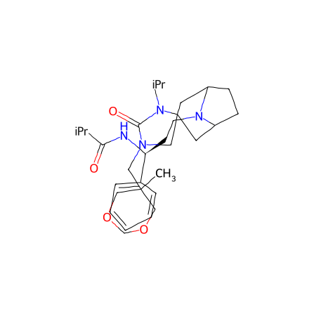 CC(C)C(=O)N[C@@H](CCN1C2CCC1CC1(C2)CN(CC2(C)COCOC2)C(=O)N1C(C)C)c1ccccc1